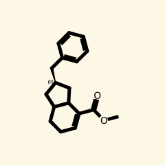 COC(=O)C1=CCCC2C[C@@H](Cc3ccccc3)CC12